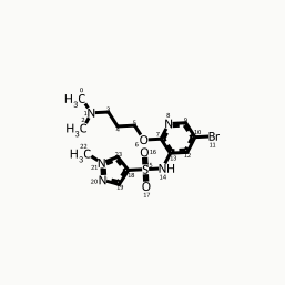 CN(C)CCCOc1ncc(Br)cc1NS(=O)(=O)c1cnn(C)c1